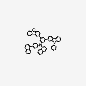 c1ccc(-n2c3ccccc3c3ccc(-c4cc(-c5ccc6oc7ccccc7c6c5)cc(N(c5ccc(-c6cccc7ccccc67)cc5)c5cccc6ccccc56)c4)cc32)cc1